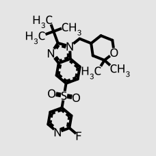 CC1(C)CC(Cn2c(C(C)(C)C)nc3cc(S(=O)(=O)c4ccnc(F)c4)ccc32)CCO1